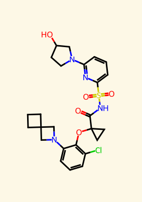 O=C(NS(=O)(=O)c1cccc(N2CCC(O)C2)n1)C1(Oc2c(Cl)cccc2N2CC3(CCC3)C2)CC1